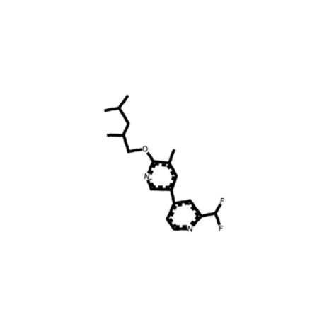 Cc1cc(-c2ccnc(C(F)F)c2)cnc1OCC(C)CC(C)C